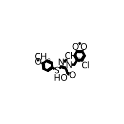 COc1ccc(Sc2nc(C)n(Cc3cc4c(cc3Cl)OCO4)c2C(=O)O)cc1